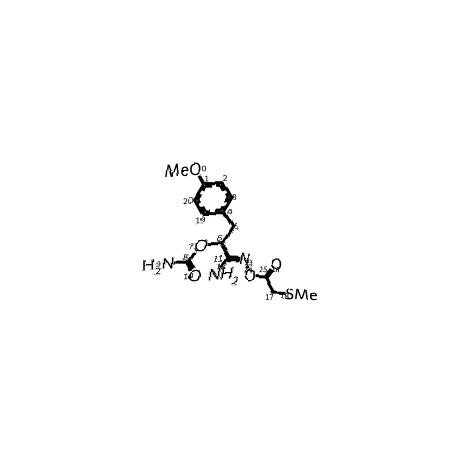 COc1ccc(CC(OC(N)=O)C(N)=NOC(=O)CSC)cc1